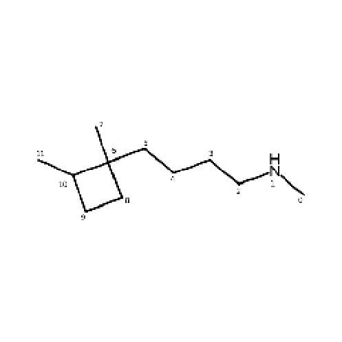 CNCCCCC1(C)CCC1C